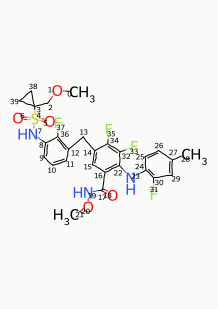 COCC1(S(=O)(=O)Nc2cccc(Cc3cc(C(=O)NOC)c(Nc4ccc(C)cc4F)c(F)c3F)c2F)CC1